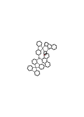 c1ccc2c(c1)-c1ccccc1C21c2ccccc2-c2c(N(c3ccc4c(c3)C3(c5ccccc5-4)c4ccccc4-n4c5ccccc5c5cccc3c54)c3cc4ccccc4c4ccccc34)cccc21